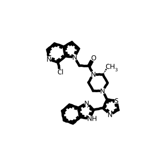 C[C@@H]1CN(c2scnc2-c2nc3ccccc3[nH]2)CCN1C(=O)Cn1ccc2ccnc(Cl)c21